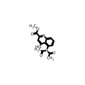 COC(=O)c1cc(O)c2c(N(C(C)=O)C(C)=O)cccc2n1